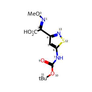 CO/N=C(\C(=O)O)c1cc(NC(=O)OC(C)(C)C)sn1